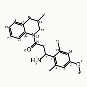 COc1cc(C)c(C(N)CC(=O)N2CC(C)Cc3ccccc32)c(C)c1